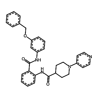 O=C(Nc1cccc(OCc2ccccc2)c1)c1ccccc1NC(=O)C1CCN(c2ccncc2)CC1